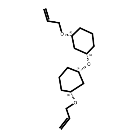 C=CCO[C@@H]1CCC[C@H](O[C@H]2CCC[C@@H](OCC=C)C2)C1